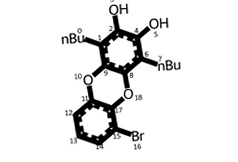 CCCCc1c(O)c(O)c(CCCC)c2c1Oc1cccc(Br)c1O2